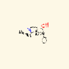 COc1nccc(C(O)C#Cc2ccccc2)c1OC